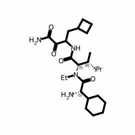 CCN(C(=O)[C@@H](N)C1CCCCC1)[C@H](C(=O)NC(CC1CCC1)C(=O)C(N)=O)[C@H](C)C(C)C